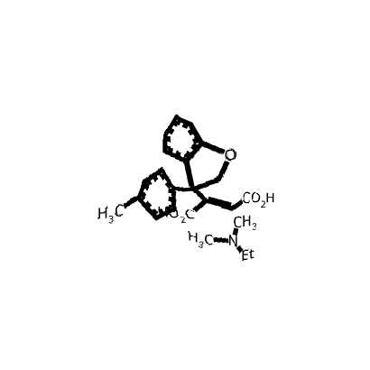 CCN(C)C.Cc1ccc(C2(/C(=C\C(=O)O)C(=O)O)COc3ccccc32)cc1